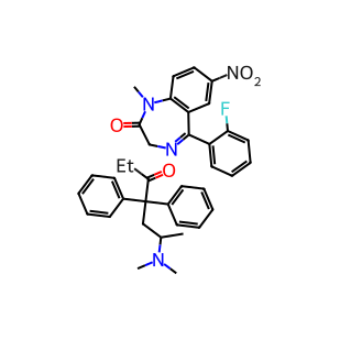 CCC(=O)C(CC(C)N(C)C)(c1ccccc1)c1ccccc1.CN1C(=O)CN=C(c2ccccc2F)c2cc([N+](=O)[O-])ccc21